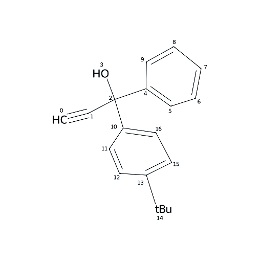 C#CC(O)(c1ccccc1)c1ccc(C(C)(C)C)cc1